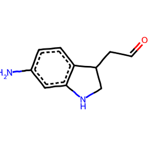 Nc1ccc2c(c1)NCC2CC=O